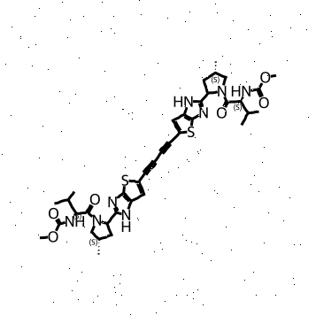 COC(=O)N[C@H](C(=O)N1C[C@@H](C)CC1c1nc2sc(C#CC#Cc3cc4[nH]c(C5C[C@H](C)CN5C(=O)[C@@H](NC(=O)OC)C(C)C)nc4s3)cc2[nH]1)C(C)C